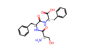 N[C@@H](CO)C(=O)N[C@@H](Cc1ccccc1)C(=O)N[C@@H](Cc1ccccc1)C(=O)O